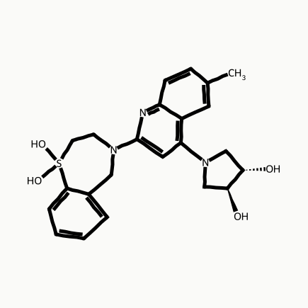 Cc1ccc2nc(N3CCS(O)(O)c4ccccc4C3)cc(N3C[C@H](O)[C@@H](O)C3)c2c1